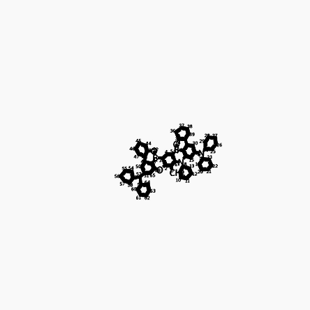 Cc1c2c(cc3c1N(c1ccccc1)c1cc(N(c4ccccc4)c4ccccc4)cc4c1B3Oc1ccccc1-4)B1Oc3ccccc3-c3cc(C(c4ccccc4)c4ccccc4)cc(c31)O2